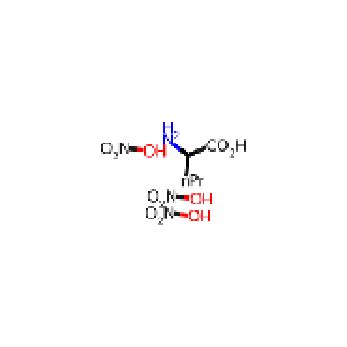 CCCC(N)C(=O)O.O=[N+]([O-])O.O=[N+]([O-])O.O=[N+]([O-])O